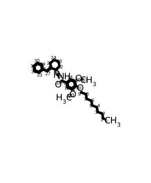 CCCCCCCCCCOc1c(OC)cc(C(=O)NN=C2CCCCC2=Cc2ccccc2)cc1OC